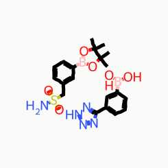 CC1(C)OB(c2cccc(CS(N)(=O)=O)c2)OC1(C)C.OB(O)c1cccc(-c2nn[nH]n2)c1